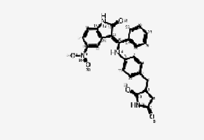 O=C1CC(Cc2ccc(NC(=C3C(=O)Nc4ccc([N+](=O)[O-])cc43)c3ccccc3)cc2)C(=O)N1